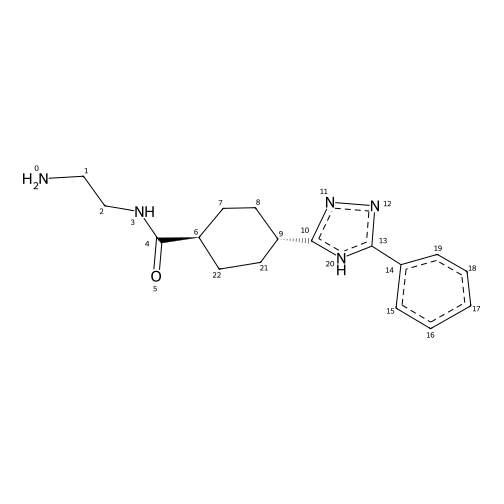 NCCNC(=O)[C@H]1CC[C@H](c2nnc(-c3ccccc3)[nH]2)CC1